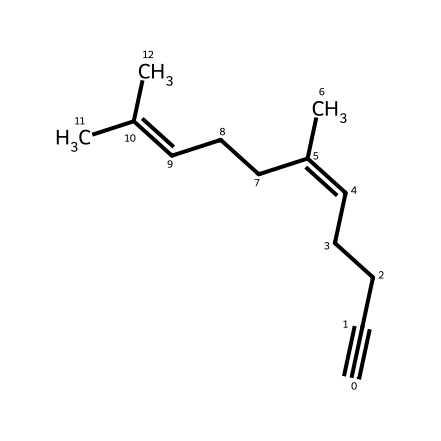 [C]#CCCC=C(C)CCC=C(C)C